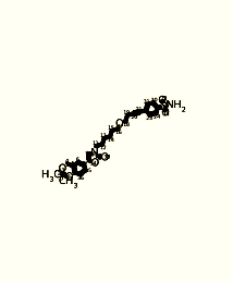 CC1(C)OCc2cc([C@@H]3CN(CCCCCCOCCC#Cc4ccc(S(N)(=O)=O)cc4)C(=O)O3)ccc2O1